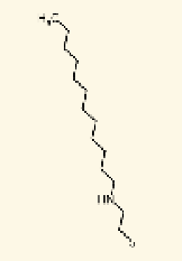 CCCCCCCCCCCCNCCS